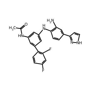 CC(=O)Nc1cc(Nc2ccc(-c3cc[nH]n3)cc2N)cc(-c2ccc(F)cc2F)c1